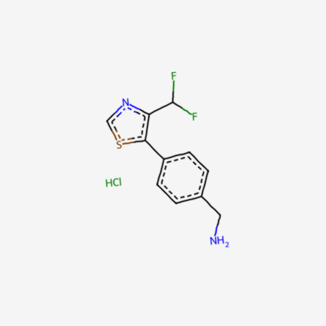 Cl.NCc1ccc(-c2scnc2C(F)F)cc1